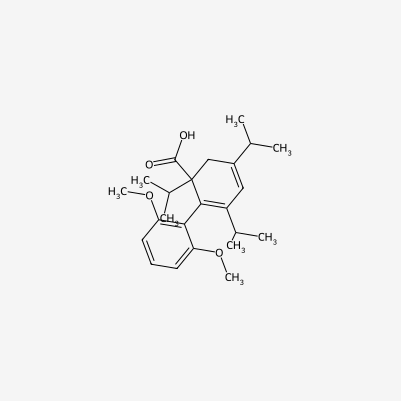 COc1cccc(OC)c1C1=C(C(C)C)C=C(C(C)C)CC1(C(=O)O)C(C)C